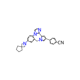 N#Cc1ccc(-c2cc3n(c2)Cc2cc(N4CC5(CCCC5)C4)ccc2-n2ccnc2-3)cc1